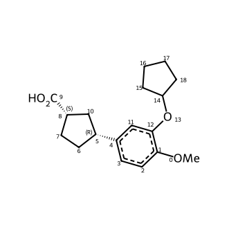 COc1ccc([C@@H]2CC[C@H](C(=O)O)C2)cc1OC1CCCC1